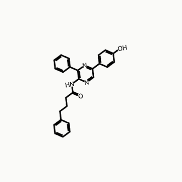 O=C(CCCc1ccccc1)Nc1ncc(-c2ccc(O)cc2)nc1-c1ccccc1